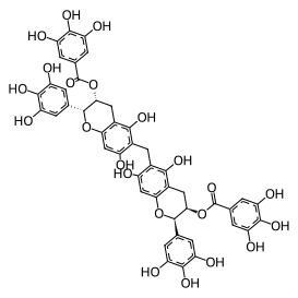 O=C(O[C@@H]1Cc2c(cc(O)c(Cc3c(O)cc4c(c3O)C[C@@H](OC(=O)c3cc(O)c(O)c(O)c3)[C@@H](c3cc(O)c(O)c(O)c3)O4)c2O)O[C@@H]1c1cc(O)c(O)c(O)c1)c1cc(O)c(O)c(O)c1